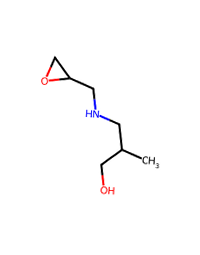 CC(CO)CNCC1CO1